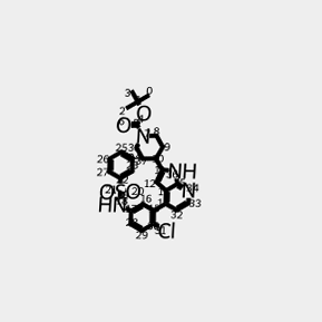 CC(C)(C)OC(=O)N1CCC(c2cc3c(-c4cc(NS(=O)(=O)c5ccccc5)ccc4Cl)ccnc3[nH]2)CC1